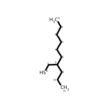 CCCCCCC(CS)CCC